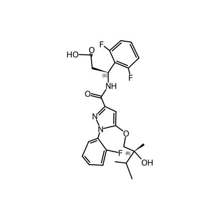 CC(C)[C@@](C)(O)COc1cc(C(=O)N[C@@H](CC(=O)O)c2c(F)cccc2F)nn1-c1ccccc1F